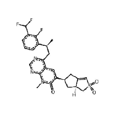 C[C@@H](Cc1ncnc2c1cc([C@H]1CC3=CS(=O)(=O)C[C@H]3C1)c(=O)n2C)c1cccc(C(F)F)c1F